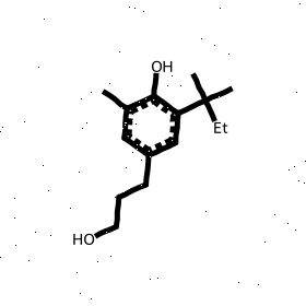 CCC(C)(C)c1cc(CCCO)cc(C)c1O